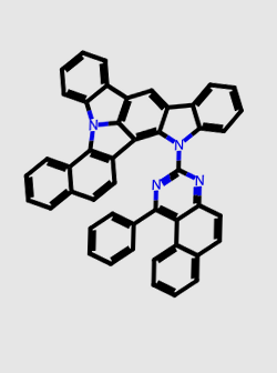 c1ccc(-c2nc(-n3c4ccccc4c4cc5c6ccccc6n6c7c8ccccc8ccc7c(c43)c56)nc3ccc4ccccc4c23)cc1